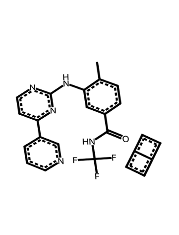 Cc1ccc(C(=O)NC(F)(F)F)cc1Nc1nccc(-c2cccnc2)n1.c1cc2ccc1-2